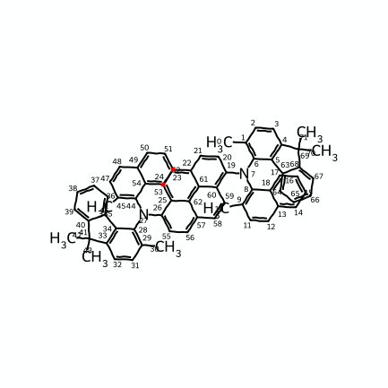 Cc1ccc2c(c1N(c1c(C)ccc3ccccc13)c1ccc3ccc4c(N(c5c(C)ccc6c5-c5ccccc5C6(C)C)c5c(C)ccc6ccccc56)ccc5ccc1c3c54)-c1ccccc1C2(C)C